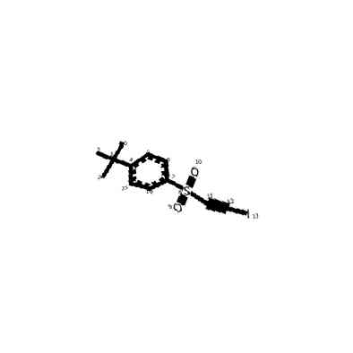 CC(C)(C)c1ccc(S(=O)(=O)C#CI)cc1